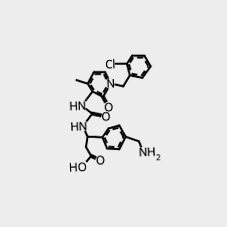 Cc1ccn(Cc2ccccc2Cl)c(=O)c1NC(=O)NC(CC(=O)O)c1ccc(CN)cc1